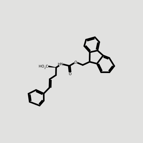 O=C(N[C@@H](C/C=C/c1ccccc1)C(=O)O)OCC1c2ccccc2-c2ccccc21